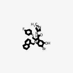 Cn1cc(NC(=O)c2c(CSc3ccc(F)cc3)n(Cc3cccc4ccccc34)c3cc(Br)c(O)cc23)cn1